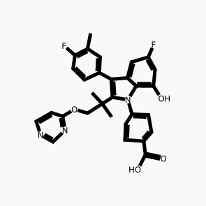 Cc1cc(-c2c(C(C)(C)COc3ccncn3)n(-c3ccc(C(=O)O)cc3)c3c(O)cc(F)cc23)ccc1F